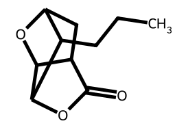 CCCC1C2CC3C(=O)OC1C3O2